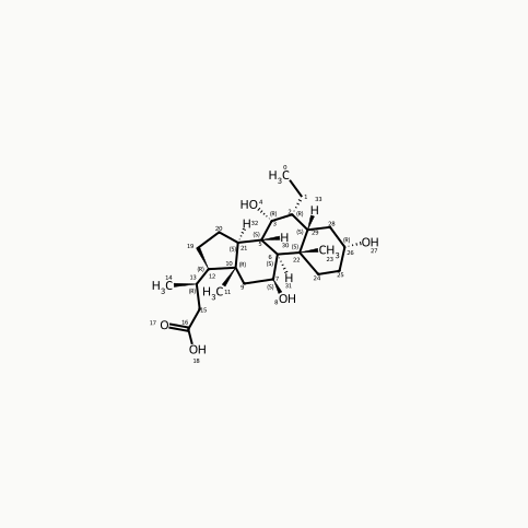 CC[C@H]1[C@@H](O)[C@@H]2[C@H]([C@@H](O)C[C@]3(C)[C@@H]([C@H](C)CC(=O)O)CC[C@@H]23)[C@@]2(C)CC[C@@H](O)C[C@@H]12